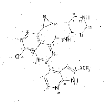 FC(F)(F)c1cc2c(-c3nc(CNC4CCNCC4)c4c(C5CC5)cnc(Cl)c4n3)ccnc2[nH]1